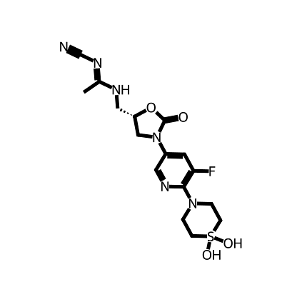 C/C(=N\C#N)NC[C@H]1CN(c2cnc(N3CCS(O)(O)CC3)c(F)c2)C(=O)O1